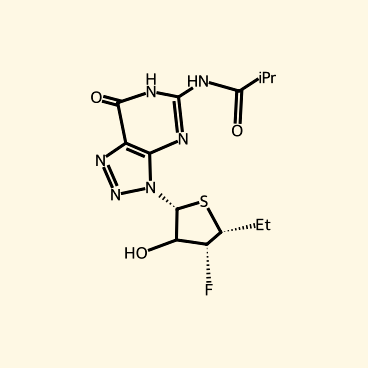 CC[C@H]1S[C@@H](n2nnc3c(=O)[nH]c(NC(=O)C(C)C)nc32)C(O)[C@H]1F